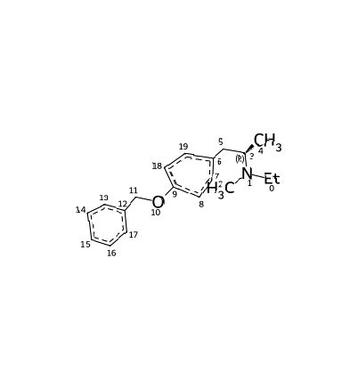 CCN(C)[C@H](C)Cc1ccc(OCc2ccccc2)cc1